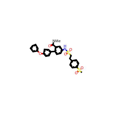 CNC(=O)c1cc(NS(=O)(=O)CCc2ccc(S(C)(=O)=O)cc2)ccc1-c1ccc(Oc2ccccc2)cc1